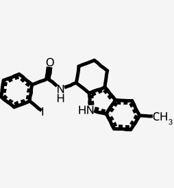 Cc1ccc2[nH]c3c(c2c1)CCCC3NC(=O)c1ccccc1I